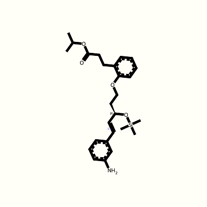 CC(C)OC(=O)CCc1ccccc1OCC[C@H](/C=C/c1cccc(N)c1)O[Si](C)(C)C